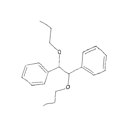 CCCOC(c1ccccc1)C(OCCC)c1ccccc1